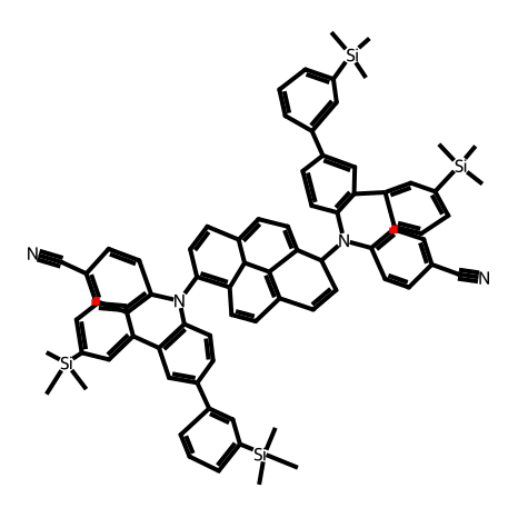 C[Si](C)(C)c1cccc(-c2ccc(N(C3=C4C=CC5=C6C(=CC=C(C=C3)C46)C(N(c3ccc(C#N)cc3)c3ccc(-c4cccc([Si](C)(C)C)c4)cc3-c3cccc([Si](C)(C)C)c3)C=C5)c3ccc(C#N)cc3)c(-c3cccc([Si](C)(C)C)c3)c2)c1